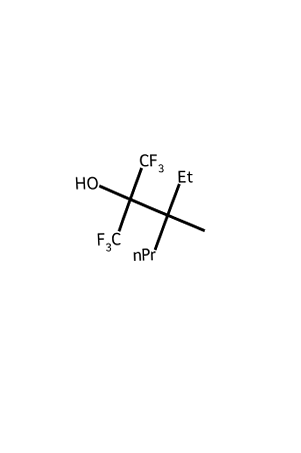 CCCC(C)(CC)C(O)(C(F)(F)F)C(F)(F)F